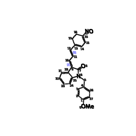 COc1ccc(CN2C(=O)/C(=C\C=C\C3=CC=C(N=O)CC3)c3ccccc32)cc1